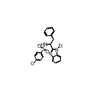 CCn1c(C(Cc2ccccc2)NS(=O)(=O)c2ccc(Cl)cc2)nc2ccccc21